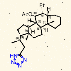 CC[C@H]1[C@@H](OC(C)=O)[C@@H]2[C@H](CC[C@]3(C)[C@@H]([C@H](C)Cc4nnn[nH]4)CC[C@@H]23)[C@@]2(C)CCCC[C@@H]12